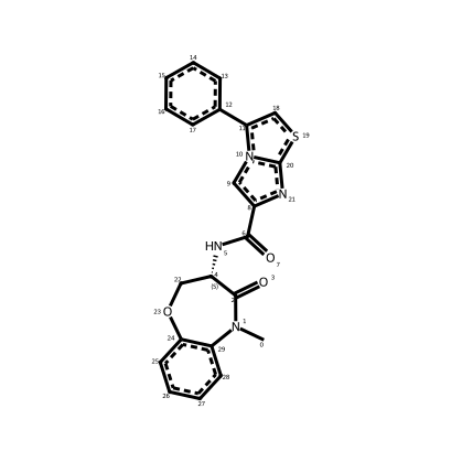 CN1C(=O)[C@@H](NC(=O)c2cn3c(-c4ccccc4)csc3n2)COc2ccccc21